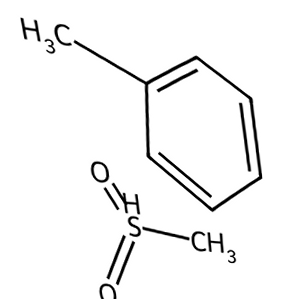 C[SH](=O)=O.Cc1ccccc1